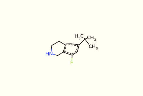 CC(C)(C)c1cc(F)c2c(c1)CCNC2